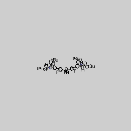 CC(C)(C)OC(=O)/N=C(/NC(=O)OC(C)(C)C)N1CC=C(c2ccc(-c3nnc(-c4ccc(C5=CCN(/C(=N/C(=O)OC(C)(C)C)NC(=O)OC(C)(C)C)CC5)c(F)c4)o3)cc2F)CC1